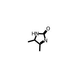 CC1=NC(=O)NC1C